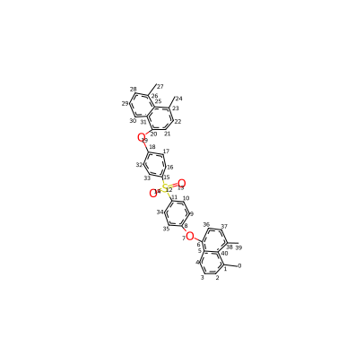 Cc1cccc2c(Oc3ccc(S(=O)(=O)c4ccc(Oc5ccc(C)c6c(C)cccc56)cc4)cc3)ccc(C)c12